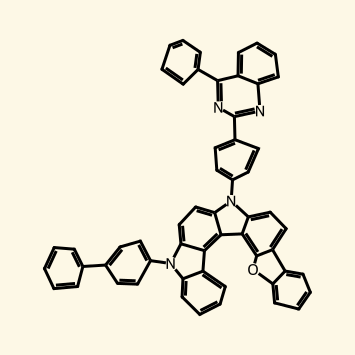 c1ccc(-c2ccc(-n3c4ccccc4c4c5c6c7oc8ccccc8c7ccc6n(-c6ccc(-c7nc(-c8ccccc8)c8ccccc8n7)cc6)c5ccc43)cc2)cc1